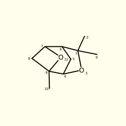 CC1(C)OC2CC1C1CC2(C)O1